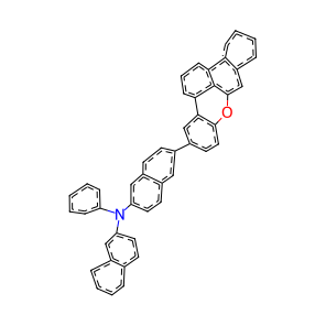 c1ccc(N(c2ccc3ccccc3c2)c2ccc3cc(-c4ccc5c(c4)-c4cccc6c4c(cc4ccccc46)O5)ccc3c2)cc1